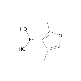 Cc1coc(C)c1B(O)O